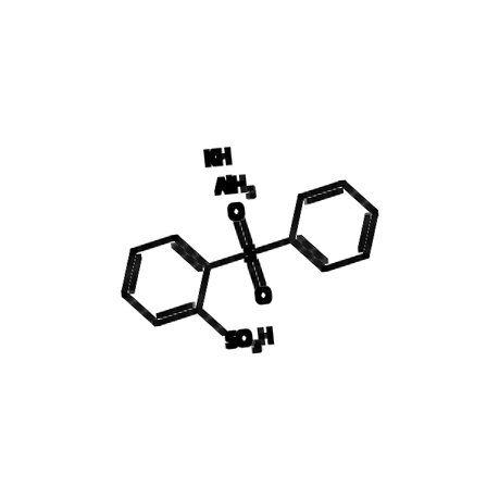 O=S(=O)(O)c1ccccc1S(=O)(=O)c1ccccc1.[AlH3].[KH]